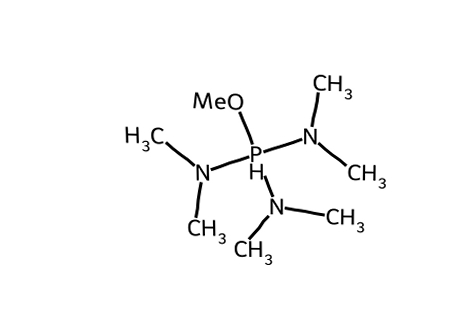 CO[PH](N(C)C)(N(C)C)N(C)C